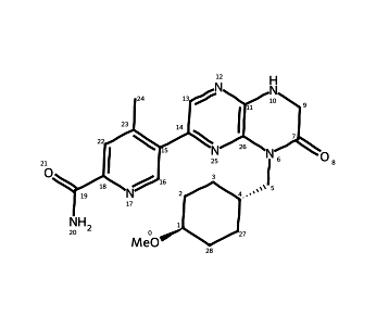 CO[C@H]1CC[C@H](CN2C(=O)CNc3ncc(-c4cnc(C(N)=O)cc4C)nc32)CC1